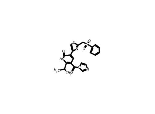 CC(C)c1[nH]c(=O)c(-c2csc(CS(=O)(=O)c3ccccc3)n2)cc1C(=O)n1ccnc1